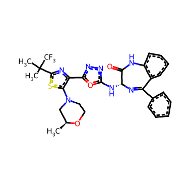 C[C@H]1CN(c2sc(C(C)(C)C(F)(F)F)nc2-c2nnc(N[C@H]3N=C(c4ccccc4)c4ccccc4NC3=O)o2)CCO1